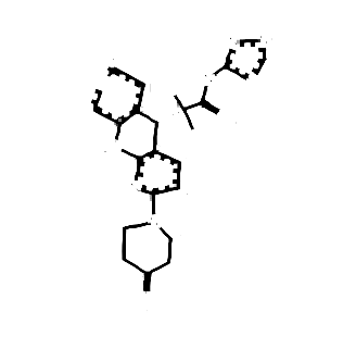 CC(C)(C(=O)Nc1nncs1)[C@H]1c2ccccc2Oc2nc(N3CCC(=O)CC3)ccc21